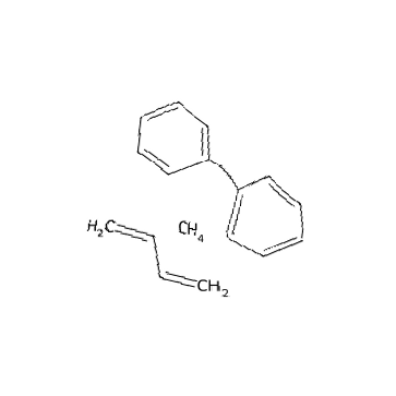 C.C=CC=C.c1ccc(-c2ccccc2)cc1